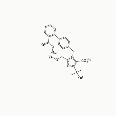 CCOCc1nc(C(C)(C)O)c(C(=O)OCC)n1Cc1ccc(-c2ccccc2C(=O)OC(C)(C)C)cc1